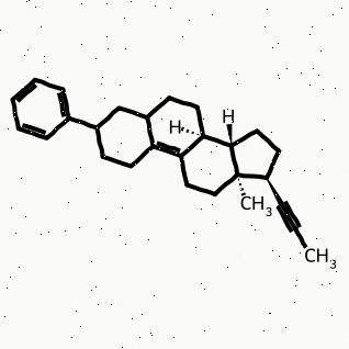 CC#C[C@@H]1CC[C@H]2[C@@H]3CCC4CC(c5ccccc5)CCC4=C3CC[C@]12C